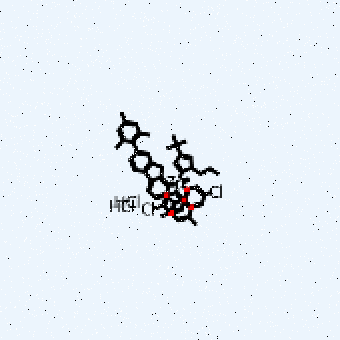 Cl.Cl.[CH2]=[Zr]([C]1=CC(C(C)(C)C)=CC1CCC)([c]1cccc(Cl)c1)([c]1cccc(Cl)c1)[c]1c(-c2c(C)cc(C)cc2C)ccc2c1Cc1cc(-c3c(C)cc(C)cc3C)ccc1-2